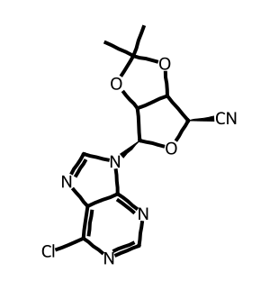 CC1(C)OC2C(O1)[C@@H](C#N)O[C@H]2n1cnc2c(Cl)ncnc21